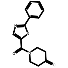 O=C1CCN(C(=O)c2cnc(-c3ccccc3)s2)CC1